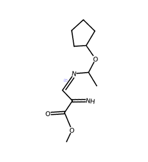 COC(=O)C(=N)/C=N\C(C)OC1CCCC1